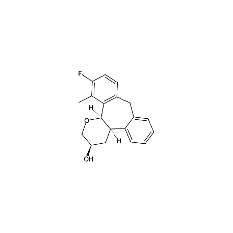 Cc1c(F)ccc2c1[C@@H]1OC[C@H](O)C[C@@H]1c1ccccc1C2